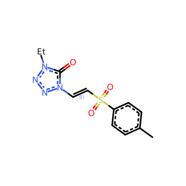 CCn1nnn(/C=C/S(=O)(=O)c2ccc(C)cc2)c1=O